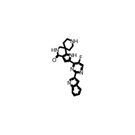 O=C1NCC2(CCNCC2)c2[nH]c(-c3nc(-c4cnc5ccccc5c4)ncc3F)cc21